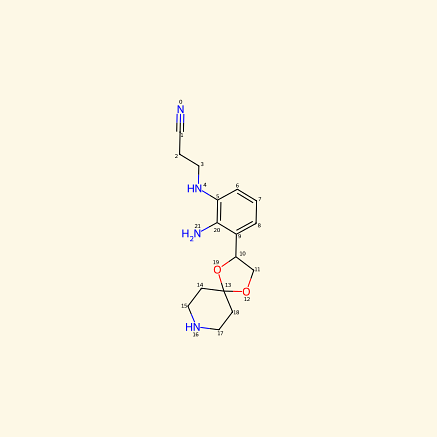 N#CCCNc1cccc(C2COC3(CCNCC3)O2)c1N